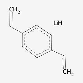 C=Cc1ccc(C=C)cc1.[LiH]